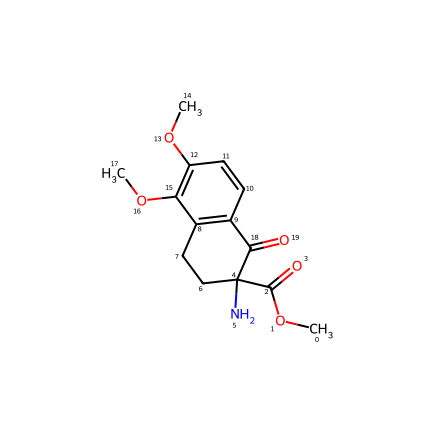 COC(=O)C1(N)CCc2c(ccc(OC)c2OC)C1=O